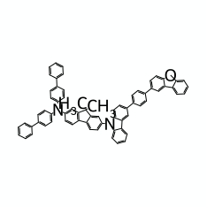 CC1(C)c2cc(N(c3ccc(-c4ccccc4)cc3)c3ccc(-c4ccccc4)cc3)ccc2-c2ccc(-n3c4ccccc4c4cc(-c5ccc(-c6ccc7oc8ccccc8c7c6)cc5)ccc43)cc21